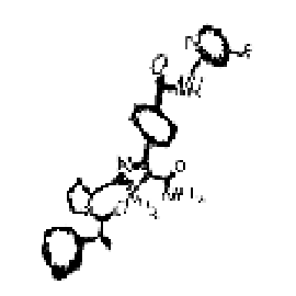 C=C(C(=O)N1CCCC1c1nc(-c2ccc(C(=O)Nc3cc(F)ccn3)cc2)c(C(N)=O)n1N)c1ccccc1